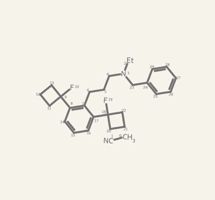 CC#N.CCN(CCCc1c(C2(F)CCC2)cccc1C1(F)CCC1)Cc1ccccc1